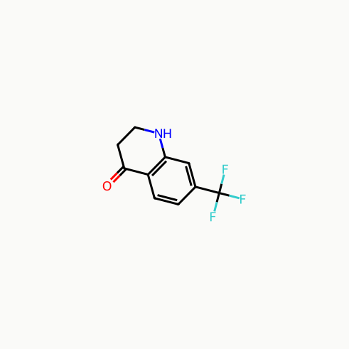 O=C1CCNc2cc(C(F)(F)F)ccc21